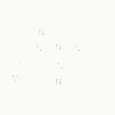 Cc1ccn(C(C)(n2ccc(C)n2)n2ccc(C)n2)n1.[Cl][Mn][Cl]